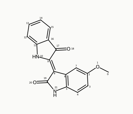 COc1ccc2c(c1)/C(=C1/Nc3ccccc3C1=O)C(=O)N2